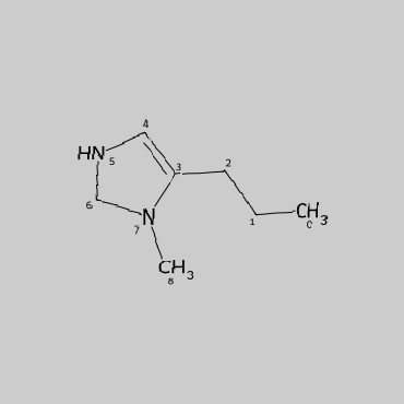 CCCC1=CNCN1C